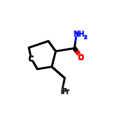 CC(C)CC1CCCCC1C(N)=O